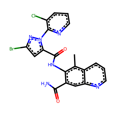 Cc1c(NC(=O)c2cc(Br)nn2-c2ncccc2Cl)c(C(N)=O)cc2ncccc12